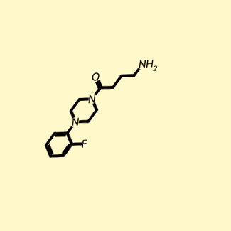 NCCCC(=O)N1CCN(c2ccccc2F)CC1